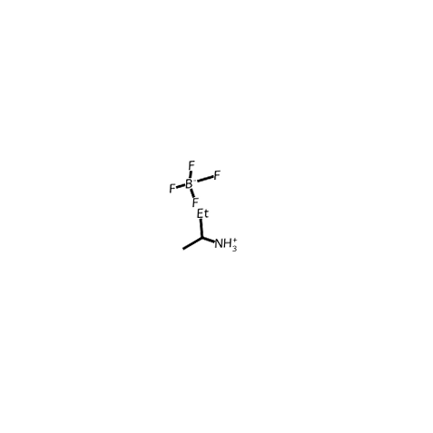 CCC(C)[NH3+].F[B-](F)(F)F